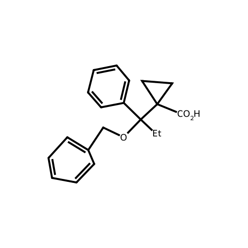 CCC(OCc1ccccc1)(c1ccccc1)C1(C(=O)O)CC1